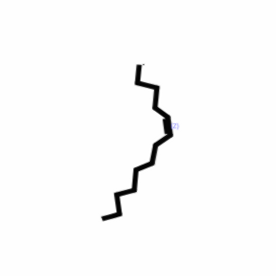 [CH2]CCC/C=C\CCCCCCC